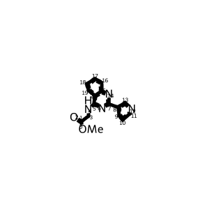 COC(=O)CNc1nc(-c2cccnc2)nc2ccccc12